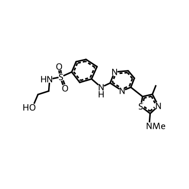 CNc1nc(C)c(-c2ccnc(Nc3cccc(S(=O)(=O)NCCO)c3)n2)s1